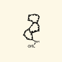 O=[C]Nc1cccc2c1ccc1ccccc12